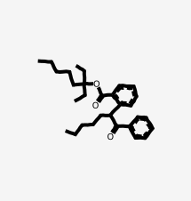 CCCCCC(C(=O)c1ccccc1)c1ccccc1C(=O)OC(CC)(CC)CCCCC